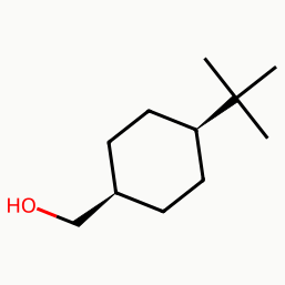 CC(C)(C)[C@H]1CC[C@@H](CO)CC1